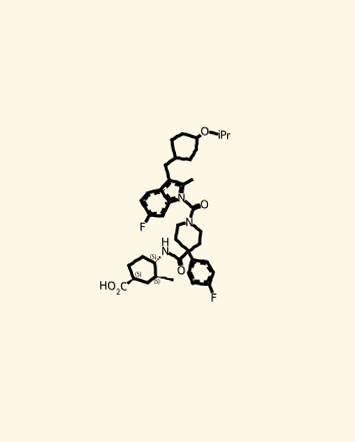 Cc1c(CC2CCC(OC(C)C)CC2)c2ccc(F)cc2n1C(=O)N1CCC(C(=O)N[C@H]2CC[C@H](C(=O)O)C[C@@H]2C)(c2ccc(F)cc2)CC1